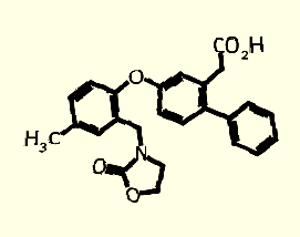 Cc1ccc(Oc2ccc(-c3ccccc3)c(CC(=O)O)c2)c(CN2CCOC2=O)c1